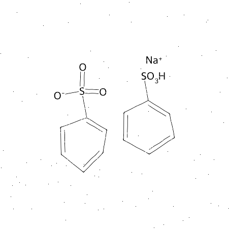 O=S(=O)(O)c1ccccc1.O=S(=O)([O-])c1ccccc1.[Na+]